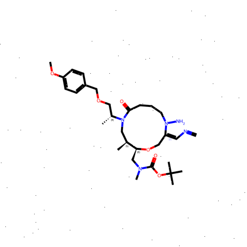 C=N/C=C1/CO[C@@H](CN(C)C(=O)OC(C)(C)C)[C@@H](C)CN([C@H](C)COCc2ccc(OC)cc2)C(=O)CCCN1N